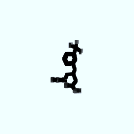 O=C(O)CC(CN=C=S)Cc1cccc(C(F)(F)F)c1